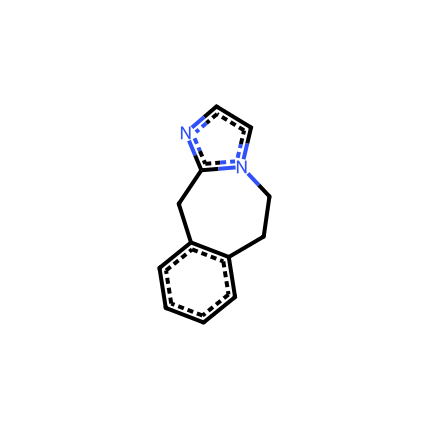 c1ccc2c(c1)CCn1ccnc1C2